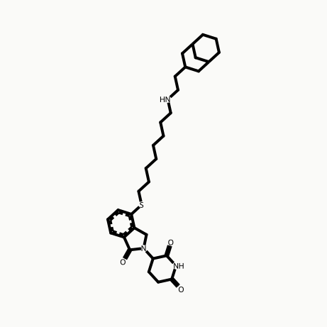 O=C1CCC(N2Cc3c(SCCCCCCCCNCCC4CC5CCCC(C5)C4)cccc3C2=O)C(=O)N1